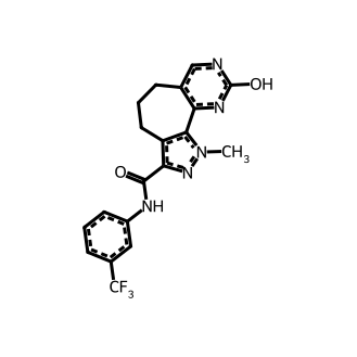 Cn1nc(C(=O)Nc2cccc(C(F)(F)F)c2)c2c1-c1nc(O)ncc1CCC2